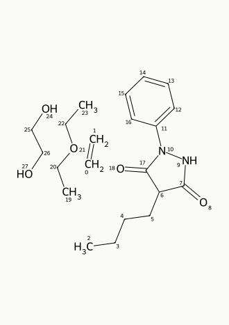 C=C.CCCCC1C(=O)NN(c2ccccc2)C1=O.CCOCC.OCCO